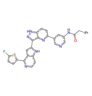 CC(C)CC(=O)Nc1cncc(-c2ccc3[nH]nc(-c4cc5c(-c6ccc(F)s6)nccc5[nH]4)c3n2)c1